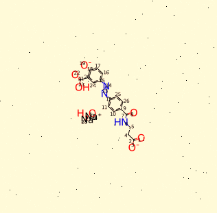 O.O=C([O-])CCNC(=O)c1ccc(N=Nc2ccc([O-])c(C(=O)O)c2)cc1.[Na+].[Na+]